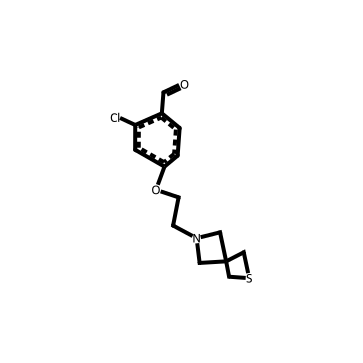 O=Cc1ccc(OCCN2CC3(CSC3)C2)cc1Cl